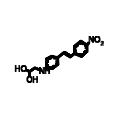 O=[N+]([O-])c1ccc(C=Cc2ccc(NCC(O)O)cc2)cc1